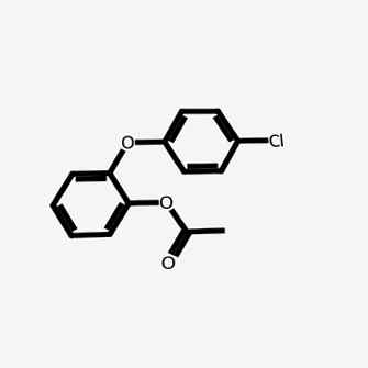 CC(=O)Oc1ccccc1Oc1ccc(Cl)cc1